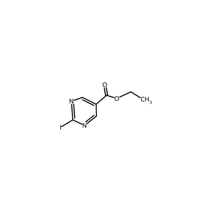 CCOC(=O)c1cnc(I)nc1